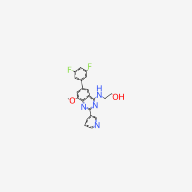 COc1cc(-c2cc(F)cc(F)c2)cc2c(NCCO)nc(-c3cccnc3)nc12